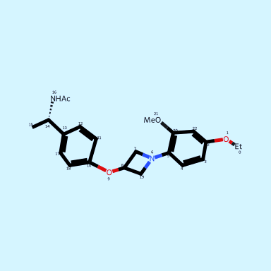 CCOc1ccc(N2CC(Oc3ccc([C@H](C)NC(C)=O)cc3)C2)c(OC)c1